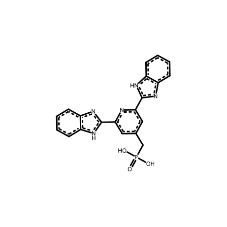 O=P(O)(O)Cc1cc(-c2nc3ccccc3[nH]2)nc(-c2nc3ccccc3[nH]2)c1